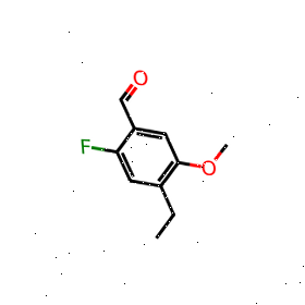 CCc1cc(F)c(C=O)cc1OC